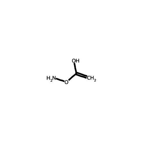 C=C(O)ON